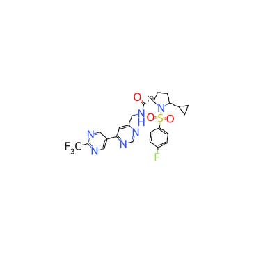 O=C(NCc1cc(-c2cnc(C(F)(F)F)nc2)ncn1)[C@@H]1CCC(C2CC2)N1S(=O)(=O)c1ccc(F)cc1